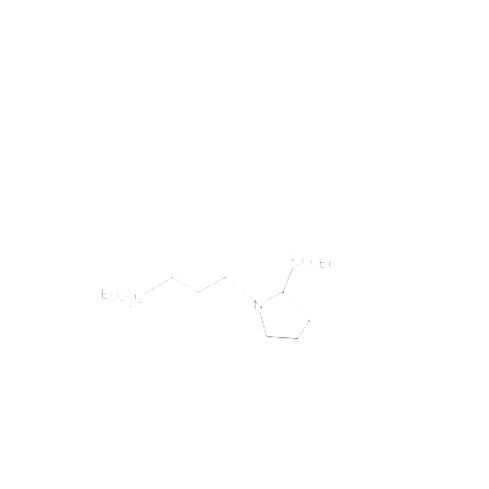 CCOC(=O)CCCN1CCCC1C(=O)OCC